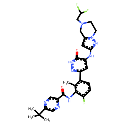 Cc1c(-c2cc(Nc3cc4n(n3)CCN(CC(F)F)C4)c(=O)[nH]n2)ccc(F)c1NC(=O)c1cnc(C(C)(C)C)cn1